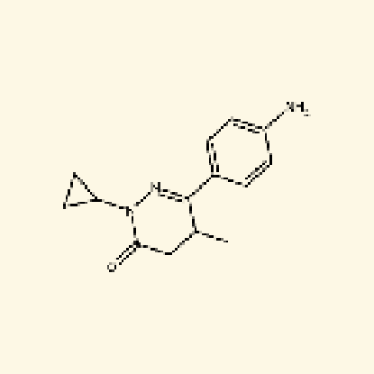 CC1CC(=O)N(C2CC2)N=C1c1ccc(N)cc1